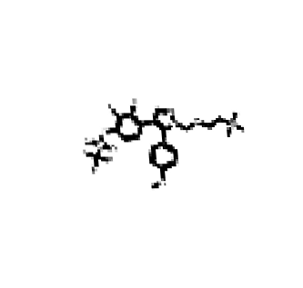 COc1ccc(-c2c(-c3ccc(OS(=O)(=O)C(F)(F)F)c(F)c3F)cnn2COCC[Si](C)(C)C)cc1